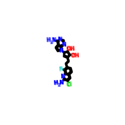 Nc1nc2c(F)c(CCC3=CC(n4ccc5c(N)ncnc54)C(O)C3O)ccc2cc1Cl